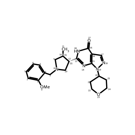 COc1ccccc1CN1C[C@@H](C)[C@H](c2nc3c(cnn3C3CCOCC3)c(=O)[nH]2)C1